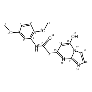 COc1ccc(OC)c(NC(=O)Cc2cc(O)n3ncnc3n2)c1